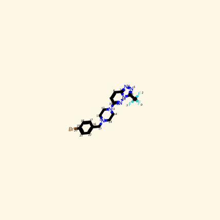 FC(F)(F)c1nnc2ccc(N3CCN(Cc4ccc(Br)cc4)CC3)nn12